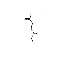 C=C(CCC(Br)CBr)C(=O)O